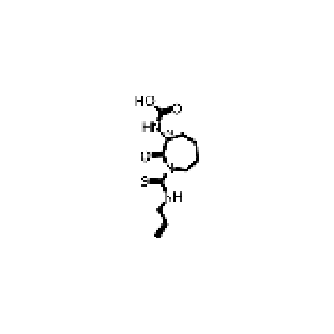 C=CCNC(=S)N1CCCC[C@H](NC(=O)O)C1=O